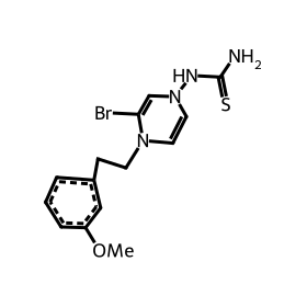 COc1cccc(CCN2C=CN(NC(N)=S)C=C2Br)c1